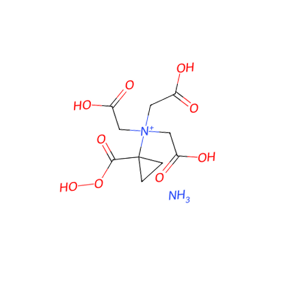 N.O=C(O)C[N+](CC(=O)O)(CC(=O)O)C1(C(=O)OO)CC1